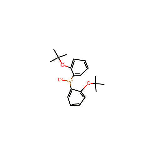 CC(C)(C)Oc1ccccc1[S+]([O-])c1ccccc1OC(C)(C)C